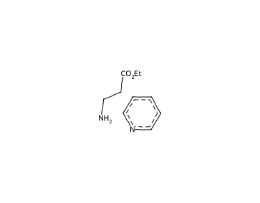 CCOC(=O)CCN.c1ccncc1